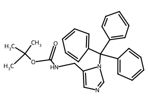 CC(C)(C)OC(=O)NCc1cncn1C(c1ccccc1)(c1ccccc1)c1ccccc1